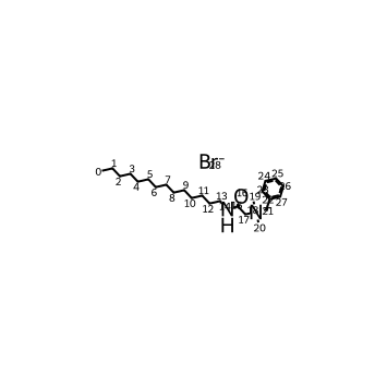 CCCCCCCCCCCCCCNC(=O)C[N+](C)(C)Cc1ccccc1.[Br-]